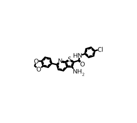 Nc1c(C(=O)Nc2ccc(Cl)cc2)sc2nc(-c3ccc4c(c3)OCO4)ccc12